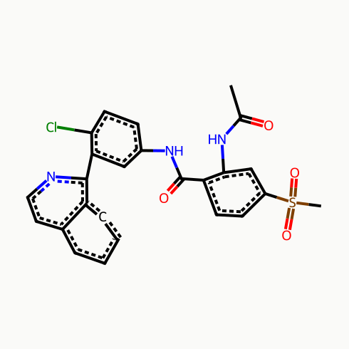 CC(=O)Nc1cc(S(C)(=O)=O)ccc1C(=O)Nc1ccc(Cl)c(-c2nccc3ccccc23)c1